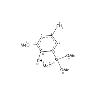 COc1cc(C)cc([Si](OC)(OC)OC)c1C